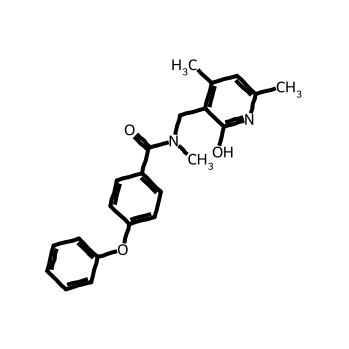 Cc1cc(C)c(CN(C)C(=O)c2ccc(Oc3ccccc3)cc2)c(O)n1